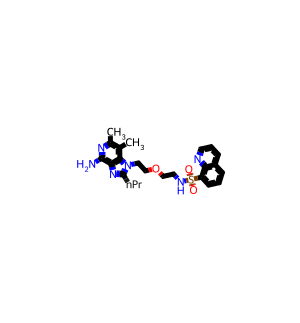 CCCc1nc2c(N)nc(C)c(C)c2n1CCOCCNS(=O)(=O)c1cccc2cccnc12